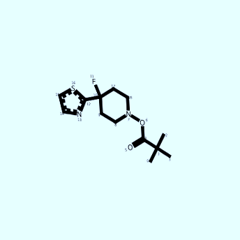 CC(C)(C)C(=O)ON1CCC(F)(c2nccs2)CC1